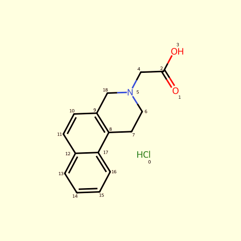 Cl.O=C(O)CN1CCc2c(ccc3ccccc23)C1